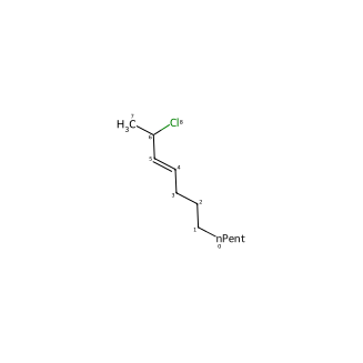 CCCCCCCCC=CC(C)Cl